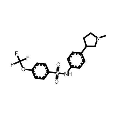 CN1CCC(c2ccc(NS(=O)(=O)c3ccc(OC(F)(F)F)cc3)cc2)C1